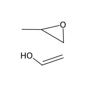 C=CO.CC1CO1